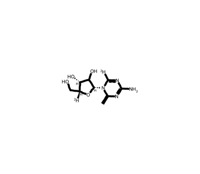 [2H]C1=NC(N)=NC(=C)N1[C@@H]1O[C@]([2H])(CO)[C@H](O)C1O